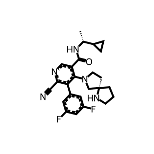 C[C@@H](NC(=O)c1cnc(C#N)c(-c2cc(F)cc(F)c2)c1N1CC[C@@]2(CCCN2)C1)C1CC1